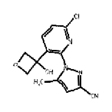 Cc1cc(C#N)nn1-c1nc(Cl)ccc1C1(O)COC1